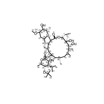 CC[C@H]1OC(=O)[C@H](C)[C@@H](O[C@H]2C[C@@](C)(OC)[C@@H](O)[C@H](C)O2)[C@H](C)[C@@H](O[C@@H]2O[C@H](C)[C@@H](OC(C)(C)C)[C@H](N(C)C)[C@H]2O)[C@](C)(O)C[C@@H](C)CN(C)[C@H](C)[C@@H](O)[C@]1(C)O